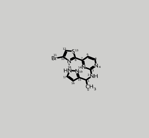 CC(Nc1nccc(-c2nc(Br)cs2)n1)c1cc[nH]n1